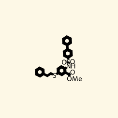 COC(=O)c1cc(SCCc2ccccc2)ccc1NS(=O)(=O)c1ccc(-c2ccccc2)cc1